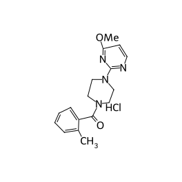 COc1ccnc(N2CCN(C(=O)c3ccccc3C)CC2)n1.Cl